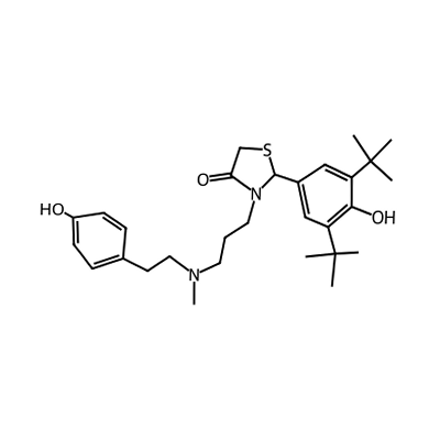 CN(CCCN1C(=O)CSC1c1cc(C(C)(C)C)c(O)c(C(C)(C)C)c1)CCc1ccc(O)cc1